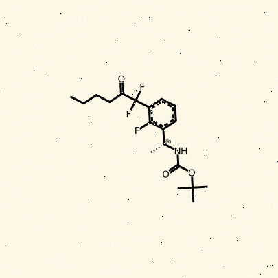 CCCCC(=O)C(F)(F)c1cccc([C@@H](C)NC(=O)OC(C)(C)C)c1F